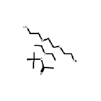 CC(=O)OC(C)(C)C.CCOCC.OCCOCCOCCO